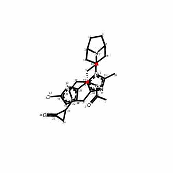 CC(=O)N[C@@H](CCN1C2CCC1CC(n1c(C)nc3c1CCN(C1CC1=O)C3)C2)c1ccc(Cl)s1